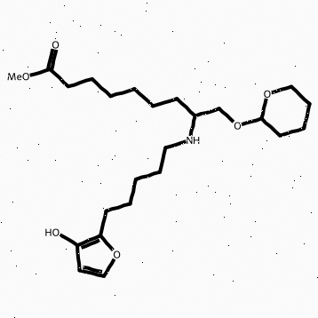 COC(=O)CCCCCCC(COC1CCCCO1)NCCCCCc1occc1O